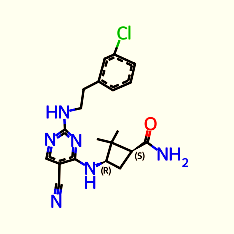 CC1(C)[C@@H](C(N)=O)C[C@H]1Nc1nc(NCCc2cccc(Cl)c2)ncc1C#N